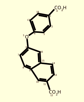 O=C(O)c1ccc(Oc2ccc3cc(C(=O)O)ccc3c2)cc1